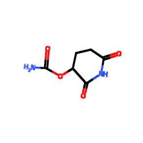 NC(=O)OC1CCC(=O)NC1=O